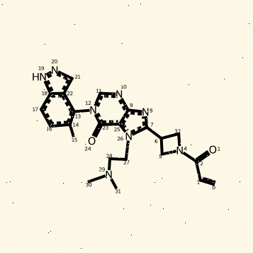 C=CC(=O)N1CC(c2nc3ncn(-c4c(C)ccc5[nH]ncc45)c(=O)c3n2CCN(C)C)C1